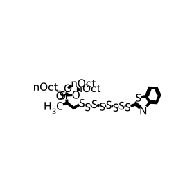 CCCCCCCCO[Si](OCCCCCCCC)(OCCCCCCCC)C(C)CSSSSSSSSc1nc2ccccc2s1